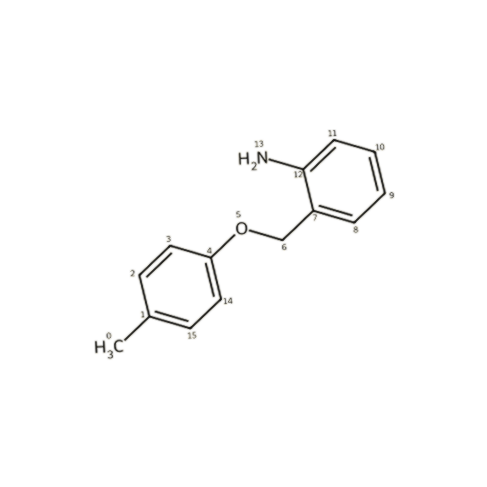 Cc1ccc(OCc2ccccc2N)cc1